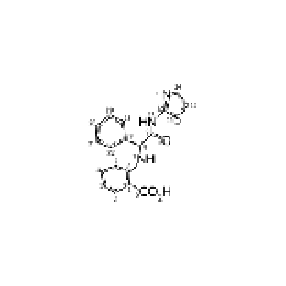 O=C(O)c1ccccc1NC(C(=O)Nc1nccs1)c1ccccc1